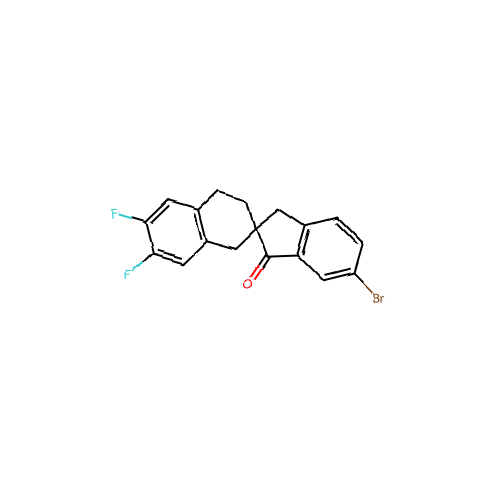 O=C1c2cc(Br)ccc2CC12CCc1cc(F)c(F)cc1C2